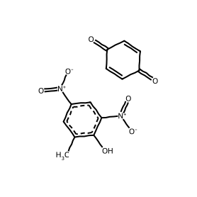 Cc1cc([N+](=O)[O-])cc([N+](=O)[O-])c1O.O=C1C=CC(=O)C=C1